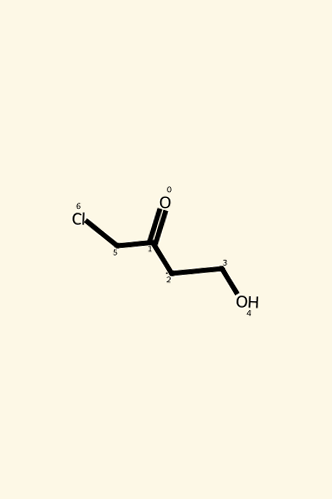 O=C([CH]CO)CCl